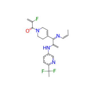 C=C(F)C(=O)N1CC=C(/C(=N/C=C\C)C(=C)Nc2ccc(C(C)(F)F)nc2)CC1